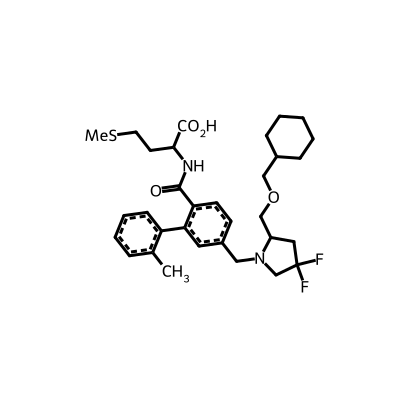 CSCCC(NC(=O)c1ccc(CN2CC(F)(F)CC2COCC2CCCCC2)cc1-c1ccccc1C)C(=O)O